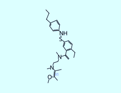 C=C(c1cc(SNc2ccc(CCC)cc2)ccc1CC)N(C)CCN(C)/C(C)=C(/C)OC